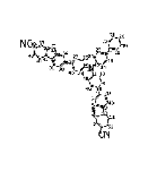 N#CC1=CC2Sc3cc(-c4ccc(N(c5ccc(-c6ccccc6)cc5)c5ccc(-c6ccc7c(c6)sc6cc(C#N)ccc67)cc5)cc4)ccc3C2C=C1